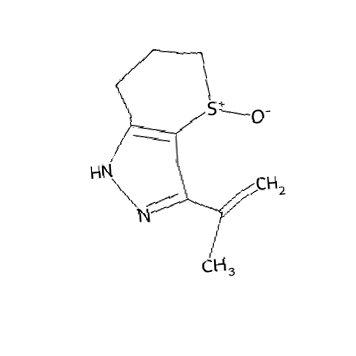 C=C(C)c1n[nH]c2c1[S+]([O-])CCC2